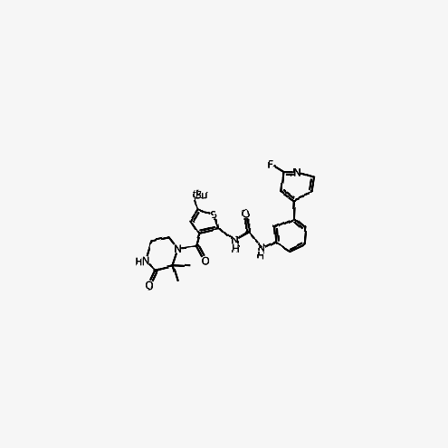 CC(C)(C)c1cc(C(=O)N2CCNC(=O)C2(C)C)c(NC(=O)Nc2cccc(-c3ccnc(F)c3)c2)s1